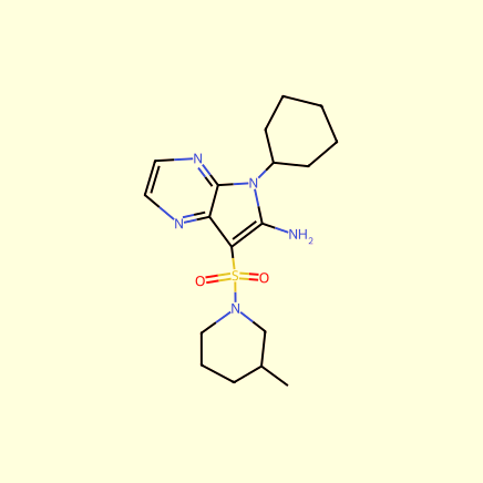 CC1CCCN(S(=O)(=O)c2c(N)n(C3CCCCC3)c3nccnc23)C1